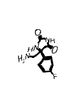 NCC1(c2ccc(F)cc2)NC(=O)NC1=O